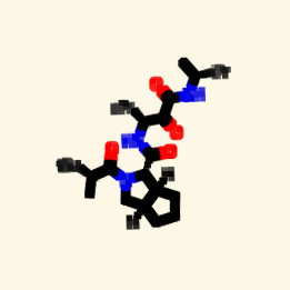 CCC[C@H](NC(=O)[C@@H]1[C@H]2CCC[C@H]2CN1C(=O)[C@@H](C)C(C)(C)C)C(=O)C(=O)N[C@@H](C)C(C)C